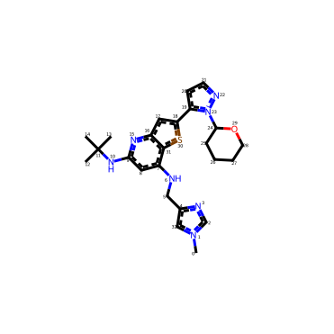 Cn1cnc(CNc2cc(NC(C)(C)C)nc3cc(-c4ccnn4C4CCCCO4)sc23)c1